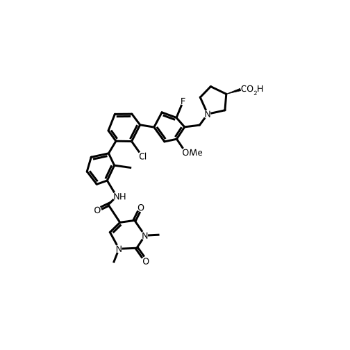 COc1cc(-c2cccc(-c3cccc(NC(=O)c4cn(C)c(=O)n(C)c4=O)c3C)c2Cl)cc(F)c1CN1CC[C@@H](C(=O)O)C1